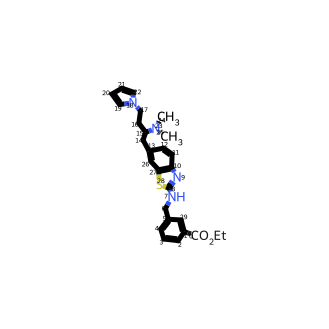 CCOC(=O)c1cccc(CNc2nc3ccc(CC(CCn4cccc4)N(C)C)cc3s2)c1